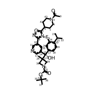 CC(=O)N1CCC(c2nc(-c3cncc([C@@](O)(c4ccc(C(C)C)c(F)c4)C4(C)CN(C(=O)OC(C)(C)C)C4)c3)no2)CC1